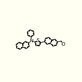 O=Cc1ccc2cc(-c3ccc(N(c4ccccc4)c4ccc5ccccc5c4)s3)ccc2c1